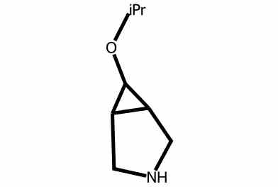 CC(C)OC1C2CNCC21